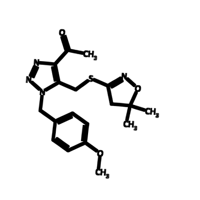 COc1ccc(Cn2nnc(C(C)=O)c2CSC2=NOC(C)(C)C2)cc1